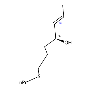 C/C=C/[C@@H](O)CCCSCCC